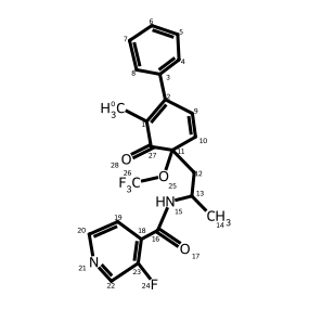 CC1=C(c2ccccc2)C=CC(CC(C)NC(=O)c2ccncc2F)(OC(F)(F)F)C1=O